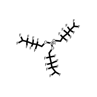 FC(F)C(F)(F)C(F)(F)C(F)(F)CO[SiH](OCC(F)(F)C(F)(F)C(F)(F)C(F)F)OCC(F)(F)C(F)(F)C(F)(F)C(F)F